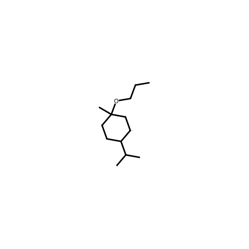 CCCOC1(C)C[CH]C(C(C)C)CC1